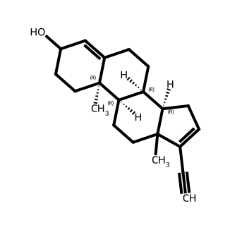 C#CC1=CC[C@@H]2[C@@H]3CCC4=CC(O)CC[C@]4(C)[C@@H]3CCC12C